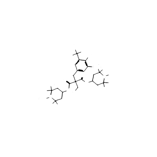 CCC(Cc1cc(C)c(O)c(C(C)(C)C)c1)(C(=O)OC1CC(C)(C)N(C)C(C)(C)C1)C(=O)OC1CC(C)(C)N(C)C(C)(C)C1